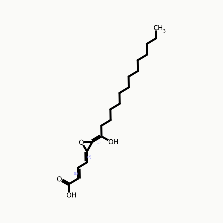 CCCCCCCCCCCCC\C(O)=C1/O/C1=C\C=C\C(=O)O